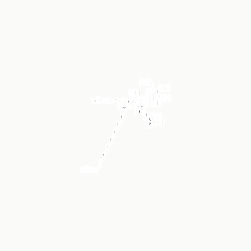 CCCCCCCCCCCCCCCCCCCCCCCCCC(=O)O[C@H](CCCCCCCCCCCCCC)[C@@H](O)[C@H](CO[C@H]1O[C@H](CO)[C@H](O)[C@H](O)[C@H]1O)NC(=O)OCOP(=O)(O)O